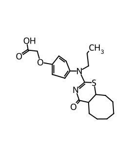 CCCN(C1=NC(=O)C2CCCCCCC2S1)c1ccc(OCC(=O)O)cc1